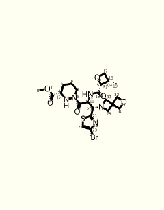 COC(=O)[C@@H]1CCCN(C(=O)[C@@H](NC(=O)[C@@H]2OC[C@@H]2C)[C@@H](c2nc(Br)cs2)N2CC3(COC3)C2)N1